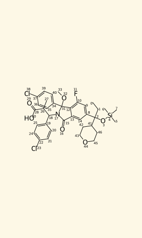 CCC(O[Si](C)(C)C)(c1cc(F)c2c(c1)C(=O)N(C(c1ccc(Cl)cc1)C(C)C(=O)O)C2(OC)c1ccc(Cl)cc1)C1CCOCC1